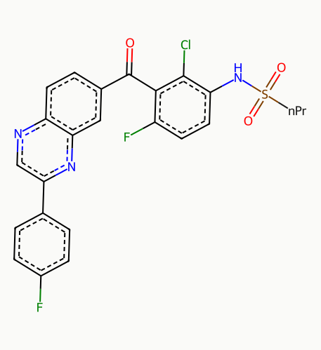 CCCS(=O)(=O)Nc1ccc(F)c(C(=O)c2ccc3ncc(-c4ccc(F)cc4)nc3c2)c1Cl